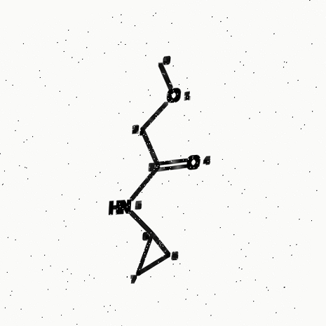 CO[CH]C(=O)NC1CC1